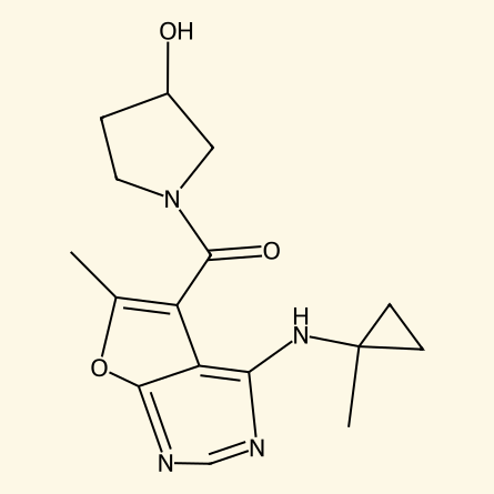 Cc1oc2ncnc(NC3(C)CC3)c2c1C(=O)N1CCC(O)C1